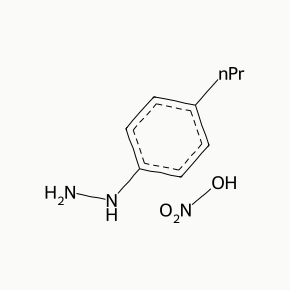 CCCc1ccc(NN)cc1.O=[N+]([O-])O